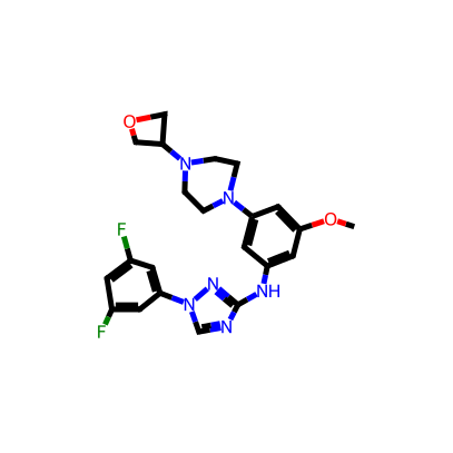 COc1cc(Nc2ncn(-c3cc(F)cc(F)c3)n2)cc(N2CCN(C3COC3)CC2)c1